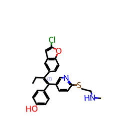 CC/C(=C(\c1ccc(O)cc1)c1ccc(SCCNC)nc1)c1ccc2oc(Cl)cc2c1